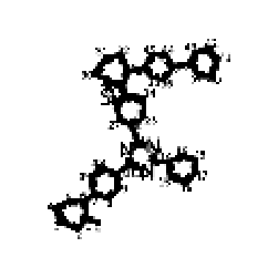 Cc1ccccc1-c1ccc(-c2nc(-c3ccccc3)nc(-c3ccc4c(c3)sc3cccc(-c5ccc(-c6ccccc6)cc5)c34)n2)cc1